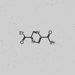 CCC(=O)c1cnc(C(=O)C(C)C)cn1